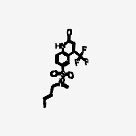 CCCCN(C)S(=O)(=O)c1ccc2[nH]c(=O)cc(C(F)(F)F)c2c1